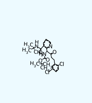 CC(C)(C)NC(=O)c1cccnc1C(NC(=O)OC(C)(C)C)C(=O)CCc1cc(Cl)ccc1Cl